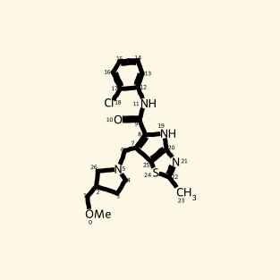 COCC1CCN(Cc2c(C(=O)Nc3ccccc3Cl)[nH]c3nc(C)sc23)C1